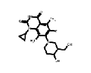 Cc1c(F)c(N2CCC(O)C(CO)C2)c(C)c2c1c(=O)[nH]c(=O)n2C1CC1